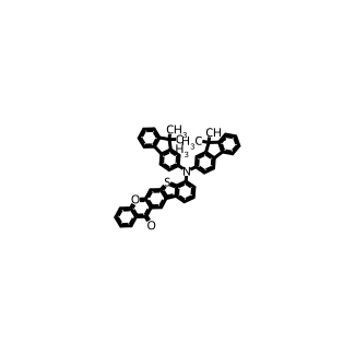 CC1(C)c2ccccc2-c2ccc(N(c3ccc4c(c3)C(C)(C)c3ccccc3-4)c3cccc4c3sc3cc5oc6ccccc6c(=O)c5cc34)cc21